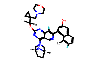 [2H]C([2H])(Oc1nc(N2C[C@H]3CC[C@@H](C2)N3)c2cnc(-c3cc(O)cc4ccc(F)c(CC)c34)c(F)c2n1)C1(CN2CCOCC2)CC1